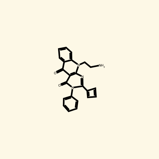 NCCn1c2ccccc2c(=O)c2c(=O)n(-c3ccccc3)c(C3=CC=C3)nc21